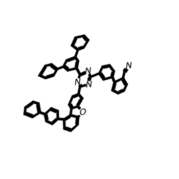 N#Cc1ccccc1-c1cccc(-c2nc(-c3cc(-c4ccccc4)cc(-c4ccccc4)c3)nc(-c3ccc4c(c3)oc3cccc(-c5ccc(-c6ccccc6)cc5)c34)n2)c1